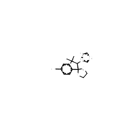 CC(C)(C)C(n1cncn1)C1(c2ccc(Cl)cc2)OCCS1